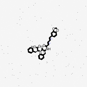 O=C(/C=C/C=C/c1ccc2c(c1)OCO2)N[C@@H](Cc1ccccc1)C(=O)N[C@@H](Cc1ccccc1)C(=O)O